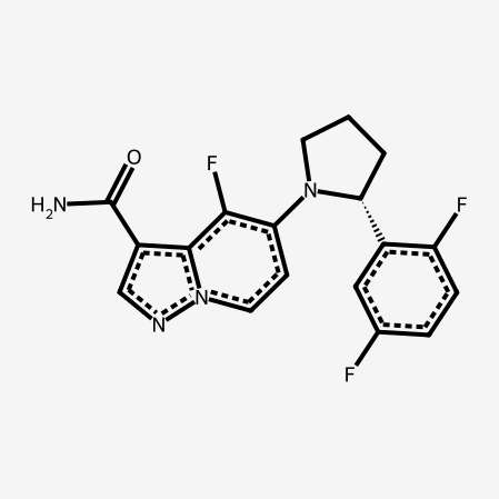 NC(=O)c1cnn2ccc(N3CCC[C@@H]3c3cc(F)ccc3F)c(F)c12